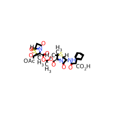 CC(=O)OC[C@@]1(C)[C@H](C(=O)OC(C)OC(=O)[C@@H]2N3C(=O)[C@@H](NC(=O)C(C(=O)O)c4ccccc4)[C@H]3SC2(C)C)N2C(=O)C[C@@H]2S1(=O)=O